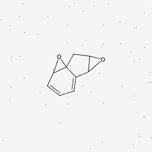 C1=CC2OC23CC2OC2C3=C1